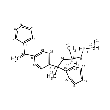 C=C(c1ccccc1)c1ccc(C(C)(CC(C)(C)CPBI)c2ccccc2)cc1